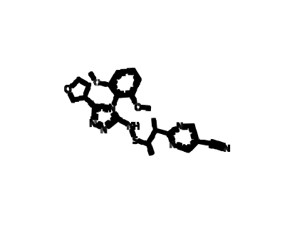 COc1cccc(OC)c1-n1c(NSC(C)C(C)c2ncc(C#N)cn2)nnc1C1CCOC1